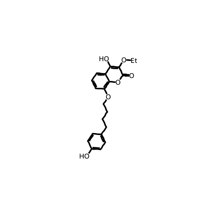 CCOc1c(O)c2cccc(OCCCCc3ccc(O)cc3)c2oc1=O